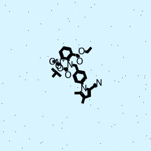 CCOC(=O)c1cccc([N+](=O)[O-])c1N(Cc1ccc(-n2c(C#N)cc(C)c2C)cc1)C(=O)OC(C)(C)C